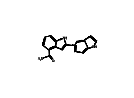 NC(=O)c1cccc2[nH]c(-c3ccc4[nH]ccc4c3)cc12